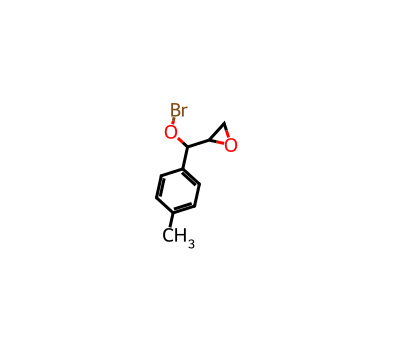 Cc1ccc(C(OBr)C2CO2)cc1